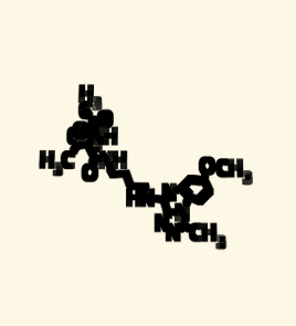 COc1ccc2c(c1)nc(NCCCCNC(=O)C(NS(C)(=O)=O)C(C)C)c1nnc(C)n12